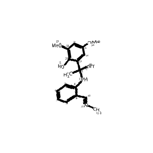 CCCC(C)(Pc1ccccc1/C=N/C)c1cc(OC)cc(OC)c1O